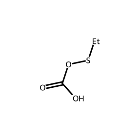 CCSOC(=O)O